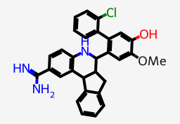 COc1cc(C2Nc3ccc(C(=N)N)cc3C3c4ccccc4CC23)c(-c2ccccc2Cl)cc1O